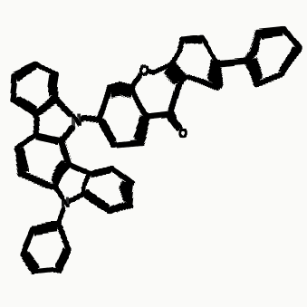 O=c1c2ccc(-n3c4ccccc4c4ccc5c(c6ccccc6n5-c5ccccc5)c43)cc2oc2ccc(-c3ccccc3)cc12